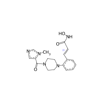 Cn1cncc1C(=O)N1CCN(c2ccccc2/C=C/C(=O)NO)CC1